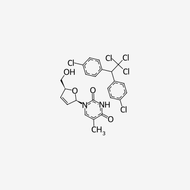 Cc1cn([C@H]2C=C[C@@H](CO)O2)c(=O)[nH]c1=O.Clc1ccc(C(c2ccc(Cl)cc2)C(Cl)(Cl)Cl)cc1